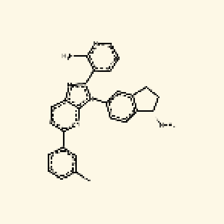 CC(=O)N[C@H]1CCc2cc(-n3c(-c4cccnc4N)nc4ccc(-c5cccc(F)c5)nc43)ccc21